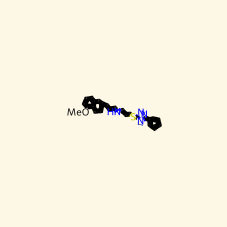 COc1cccc2c1CCC(CCCNCCCSc1nnc(-c3ccccc3)n1C)C2